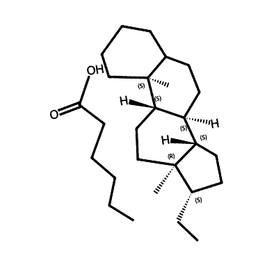 CCCCCC(=O)O.CC[C@H]1CC[C@H]2[C@@H]3CCC4CCCC[C@]4(C)[C@H]3CC[C@]12C